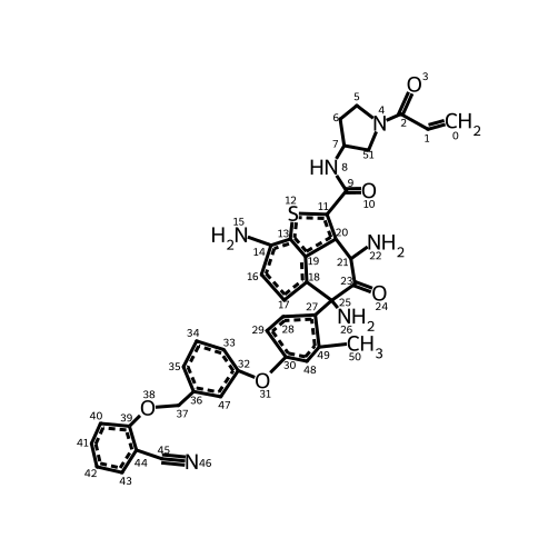 C=CC(=O)N1CCC(NC(=O)c2sc3c(N)ccc4c3c2C(N)C(=O)C4(N)c2ccc(Oc3cccc(COc4ccccc4C#N)c3)cc2C)C1